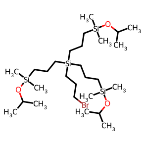 CC(C)O[Si](C)(C)CCC[Si](CCCBr)(CCC[Si](C)(C)OC(C)C)CCC[Si](C)(C)OC(C)C